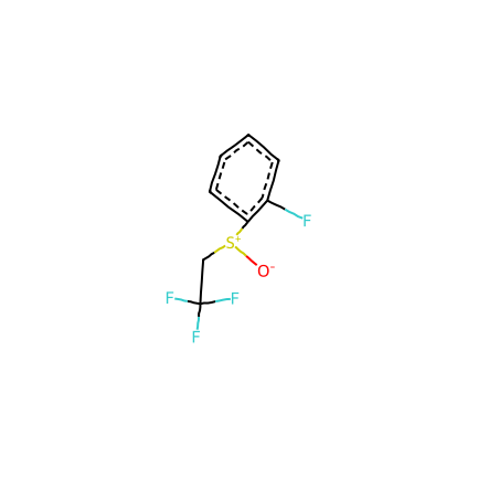 [O-][S+](CC(F)(F)F)c1ccccc1F